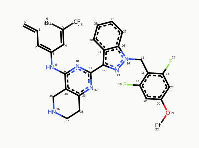 C=C/C=C(\C=C(/C(C)CC)C(F)(F)F)Nc1nc(-c2nn(Cc3c(F)cc(OCC)cc3F)c3ccccc23)nc2c1CNCC2